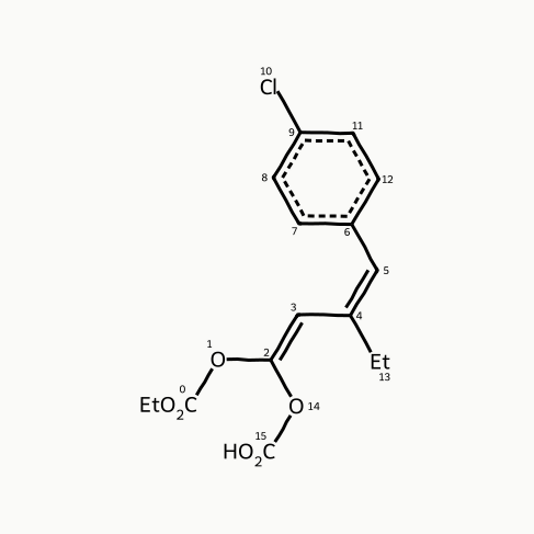 CCOC(=O)OC(=CC(=Cc1ccc(Cl)cc1)CC)OC(=O)O